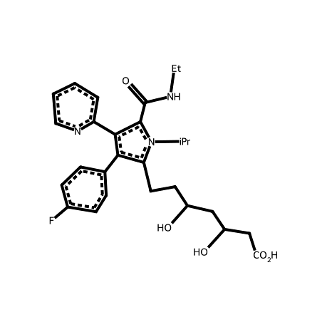 CCNC(=O)c1c(-c2ccccn2)c(-c2ccc(F)cc2)c(CCC(O)CC(O)CC(=O)O)n1C(C)C